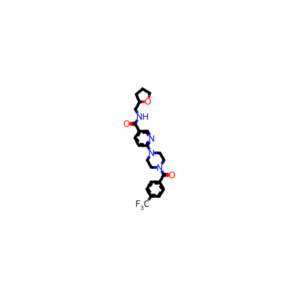 O=C(NCC1CCCO1)c1ccc(N2CCN(C(=O)c3ccc(C(F)(F)F)cc3)CC2)nc1